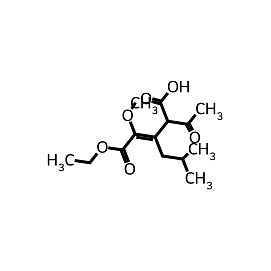 CCOC(=O)C(OC)=C(CC(C)C)C(C(C)=O)C(=O)O